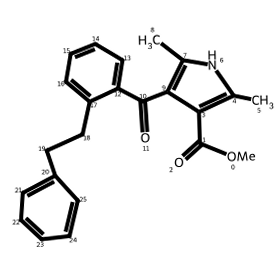 COC(=O)c1c(C)[nH]c(C)c1C(=O)c1ccccc1CCc1ccccc1